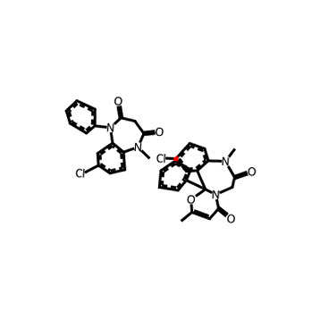 CC1=CC(=O)N2CC(=O)N(C)c3ccc(Cl)cc3C2(c2ccccc2)O1.CN1C(=O)CC(=O)N(c2ccccc2)c2cc(Cl)ccc21